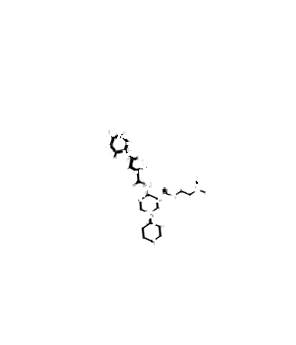 CN(C)CCNC(=O)[C@@H]1CN(C2CCCCC2)CC[C@H]1NC(=O)c1cc(-c2ccc(F)cc2F)on1